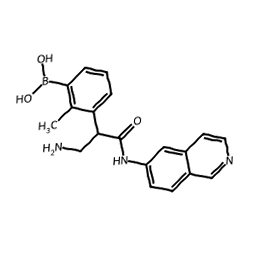 Cc1c(B(O)O)cccc1C(CN)C(=O)Nc1ccc2cnccc2c1